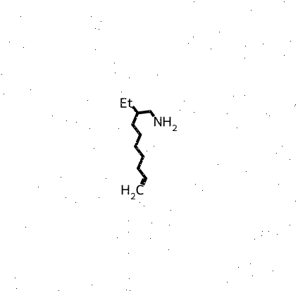 C=CCCCCCC(CC)CN